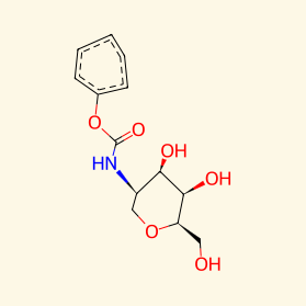 O=C(N[C@@H]1CO[C@H](CO)[C@H](O)[C@@H]1O)Oc1ccccc1